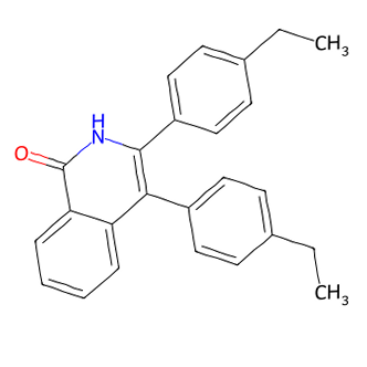 CCc1ccc(-c2[nH]c(=O)c3ccccc3c2-c2ccc(CC)cc2)cc1